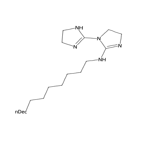 CCCCCCCCCCCCCCCCCNC1=NCCN1C1=NCCN1